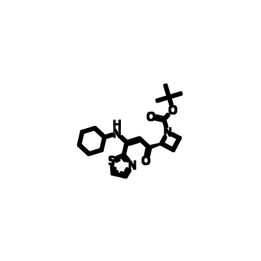 CC(C)(C)OC(=O)N1CC[C@H]1C(=O)C=C(NC1CCCCC1)c1nccs1